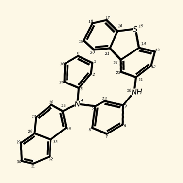 c1ccc(N(c2cccc(Nc3ccc4sc5ccccc5c4c3)c2)c2ccc3ccccc3c2)cc1